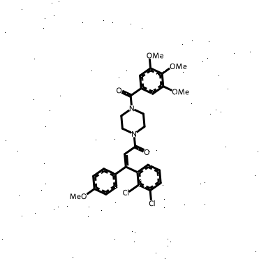 COc1ccc(/C(=C/C(=O)N2CCN(C(=O)c3cc(OC)c(OC)c(OC)c3)CC2)c2cccc(Cl)c2Cl)cc1